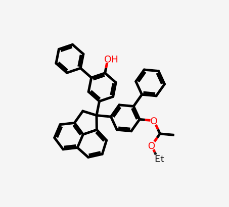 CCOC(C)Oc1ccc(C2(c3ccc(O)c(-c4ccccc4)c3)Cc3cccc4cccc2c34)cc1-c1ccccc1